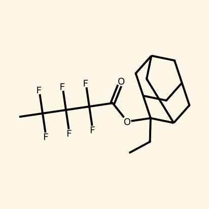 CCC1(OC(=O)C(F)(F)C(F)(F)C(C)(F)F)C2CC3CC(C2)CC1C3